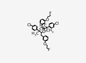 CC(C)(c1ccc(Cl)cc1)C(Cc1cccc(OCCF)c1)OC(Cc1cccc(OCCF)c1)C(C)(C)c1ccc(Cl)cc1